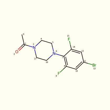 CC(=O)N1CCN(c2c(F)cc(Br)cc2F)CC1